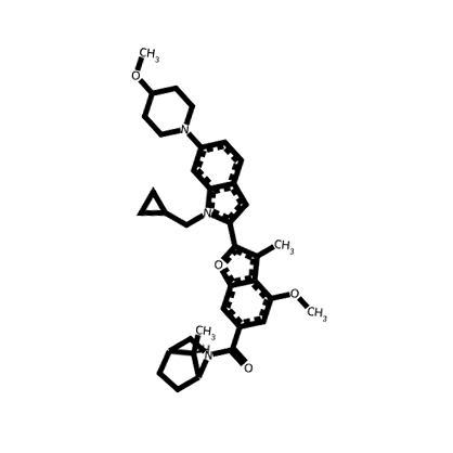 COc1cc(C(=O)N2CC3CCC2[C@@H]3C)cc2oc(-c3cc4ccc(N5CCC(OC)CC5)cc4n3CC3CC3)c(C)c12